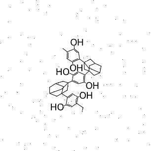 CCc1cc(O)c(C23CC4CC(C2)CC(c2cc(O)c(C56CC7CC(CC(c8cc(O)c(C)cc8O)(C7)C5)C6)cc2O)(C4)C3)cc1O